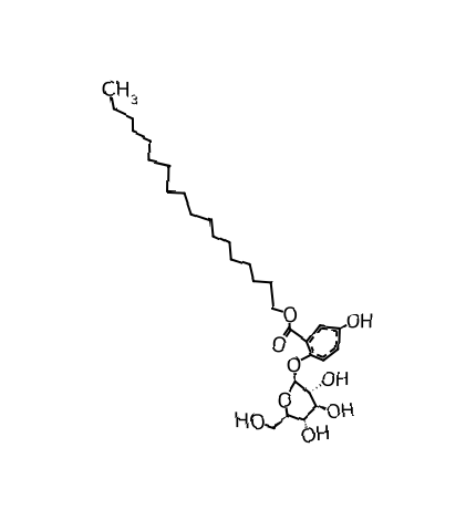 CCCCCCCCCCCCCCCCCCOC(=O)c1cc(O)ccc1O[C@@H]1O[C@H](CO)[C@@H](O)[C@H](O)[C@H]1O